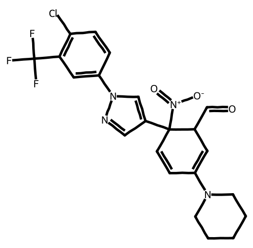 O=CC1C=C(N2CCCCC2)C=CC1(c1cnn(-c2ccc(Cl)c(C(F)(F)F)c2)c1)[N+](=O)[O-]